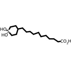 O=C(O)CCCCCCCCCCC1CCS(O)(O)CC1